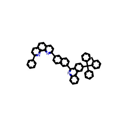 Cc1ccccc1C(c1ccccc1)(c1ccccc1)c1ccc2c(-c3ccc4cc(-c5ccc6ccc7ccc(-c8ccccc8)nc7c6n5)ccc4c3)nc3ccccc3c2c1